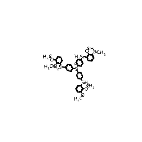 COc1cccc([SiH2]c2ccc([SiH](c3ccc([SiH2]c4cccc(OC)c4OC)cc3)c3ccc([SiH2]c4cccc(OC)c4OC)cc3)cc2)c1OC